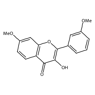 COc1cccc(-c2oc3cc(OC)ccc3c(=O)c2O)c1